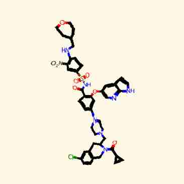 O=C(NS(=O)(=O)c1ccc(NCC2CCOCC2)c([N+](=O)[O-])c1)c1ccc(N2CCN(CC3Cc4cc(Cl)ccc4CN3C(=O)C3CC3)CC2)cc1Oc1cnc2[nH]ccc2c1